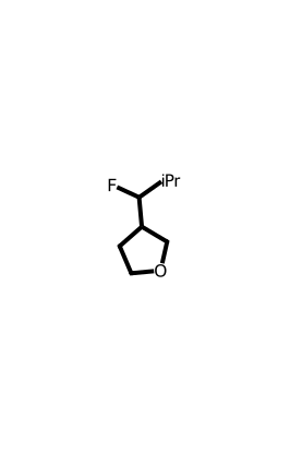 CC(C)C(F)C1CCOC1